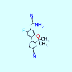 CC1(C)Oc2cc(CC(N)C#N)c(F)cc2-c2ccc(C#N)cc21